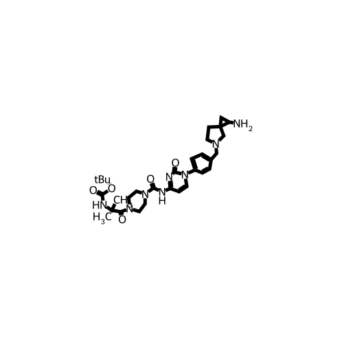 CC(C)(C)OC(=O)NC(C)(C)C(=O)N1CCN(C(=O)Nc2ccn(-c3ccc(CN4CCC5(CC5N)C4)cc3)c(=O)n2)CC1